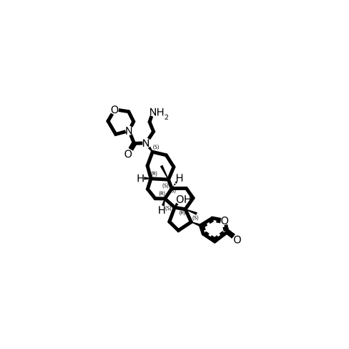 C[C@]12CC[C@H](N(CCN)C(=O)N3CCOCC3)C[C@H]1CC[C@@H]1[C@@H]2CC[C@]2(C)[C@@H](c3ccc(=O)oc3)CC[C@]12O